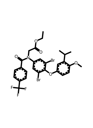 CCOC(=O)CN(C(=O)c1ccc(C(F)(F)F)cc1)c1cc(Br)c(Oc2ccc(OC)c(C(C)C)c2)c(Br)c1